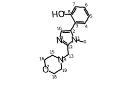 Cn1c(-c2ccccc2O)cnc1CN1CCOCC1